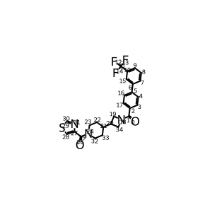 O=C(c1ccc(-c2cccc(C(F)(F)F)c2)cc1)N1CC(C2CCN(C(=O)c3cscn3)CC2)C1